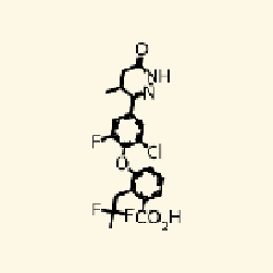 CC1CC(=O)NN=C1c1cc(F)c(Oc2cccc(C(=O)O)c2CC(C)(F)F)c(Cl)c1